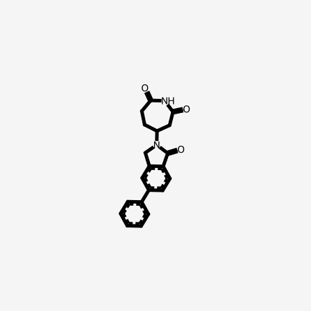 O=C1CCC(N2Cc3cc(-c4ccccc4)ccc3C2=O)CC(=O)N1